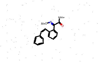 CNC(=O)C(=NOC)c1ccccc1/C=C\c1ccccc1